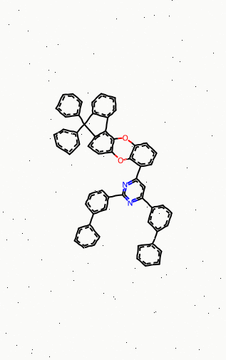 c1ccc(-c2cccc(-c3cc(-c4cccc5c4Oc4ccc6c(c4O5)-c4ccccc4C6(c4ccccc4)c4ccccc4)nc(-c4cccc(-c5ccccc5)c4)n3)c2)cc1